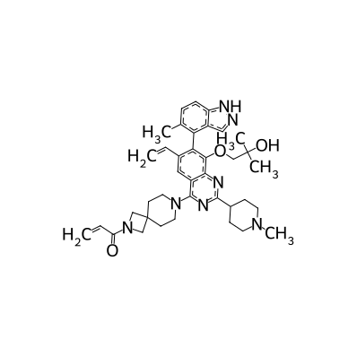 C=CC(=O)N1CC2(CCN(c3nc(C4CCN(C)CC4)nc4c(OCC(C)(C)O)c(-c5c(C)ccc6[nH]ncc56)c(C=C)cc34)CC2)C1